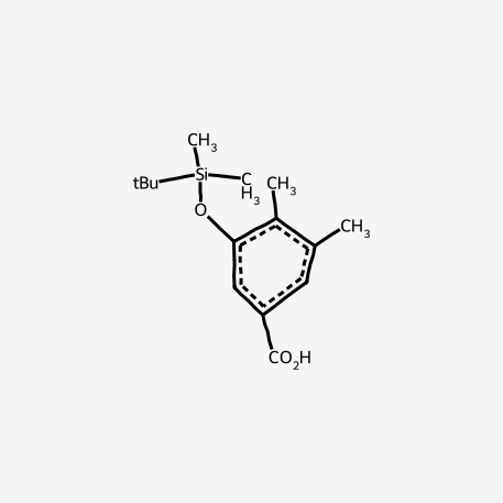 Cc1cc(C(=O)O)cc(O[Si](C)(C)C(C)(C)C)c1C